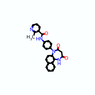 Cc1ncccc1C(=O)Nc1ccc(N2C(=O)CC(=O)Nc3c2ccc2ccccc32)cc1